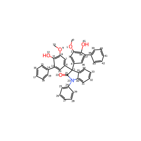 COc1cc(C2(c3cc(OC)c(O)c(-c4ccccc4)c3)C(=O)N(c3ccccc3)c3ccccc32)cc(-c2ccccc2)c1O